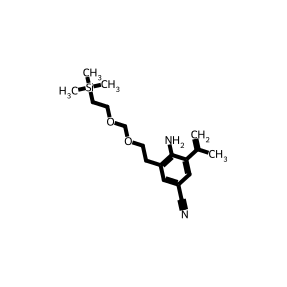 C=C(C)c1cc(C#N)cc(CCOCOCC[Si](C)(C)C)c1N